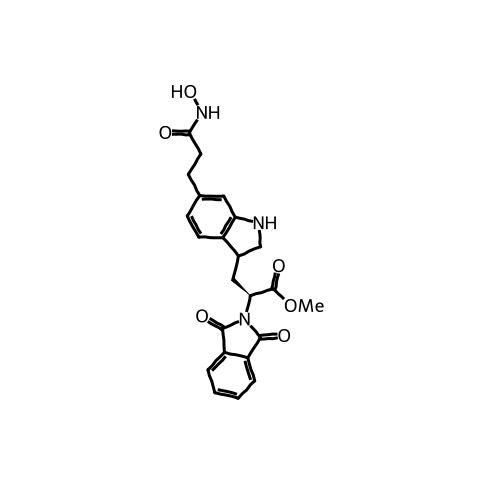 COC(=O)[C@H](CC1CNc2cc(CCC(=O)NO)ccc21)N1C(=O)c2ccccc2C1=O